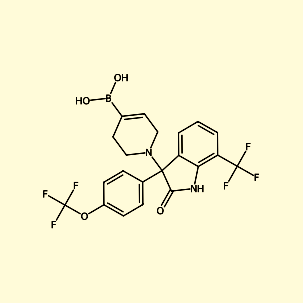 O=C1Nc2c(C(F)(F)F)cccc2C1(c1ccc(OC(F)(F)F)cc1)N1CC=C(B(O)O)CC1